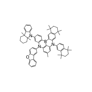 Cc1cc2c3c(c1)N(c1ccc4c(c1)C(C)(C)CCC4(C)C)c1cc4c(cc1B3c1ccc(N3c5ccccc5C5(C)CCCCC35C)cc1N2c1ccc2oc3ccccc3c2c1)C(C)(C)CCC4(C)C